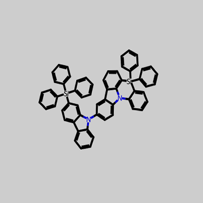 c1ccc([Si](c2ccccc2)(c2ccccc2)c2ccc3c4ccccc4n(-c4ccc5c(c4)c4cccc6c4n5-c4ccccc4[Si]6(c4ccccc4)c4ccccc4)c3c2)cc1